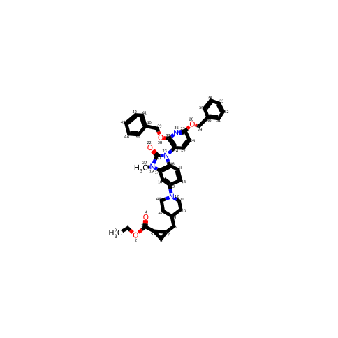 CCOC(=O)C1CC1CC1CCN(c2ccc3c(c2)n(C)c(=O)n3-c2ccc(OCc3ccccc3)nc2OCc2ccccc2)CC1